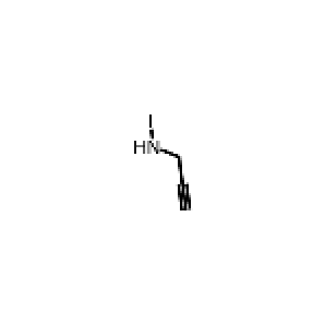 C#CCNI